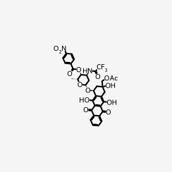 CC(=O)OCC1(O)Cc2c(O)c3c(c(O)c2[C@@H](O[C@H]2C[C@H](NC(=O)C(F)(F)F)[C@@H](OC(=O)c4ccc([N+](=O)[O-])cc4)[C@@H](C)O2)C1)C(=O)c1ccccc1C3=O